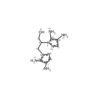 Nc1cnn(CC(CO)n2ncc(N)c2N)c1N